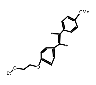 CCOCCOc1ccc(/C(F)=C(\F)c2ccc(OC)cc2)cc1